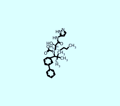 CCCC[C@@H]([C@@H](O)C(=O)Nc1ccn[nH]1)N(C(=O)O)C(c1cccc(-c2ccccc2)c1)C(C)(C)C